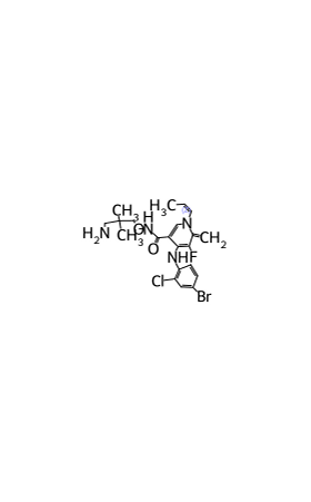 C=C1C(F)=C(Nc2ccc(Br)cc2Cl)C(C(=O)NOCC(C)(C)CN)=CN1/C=C\C